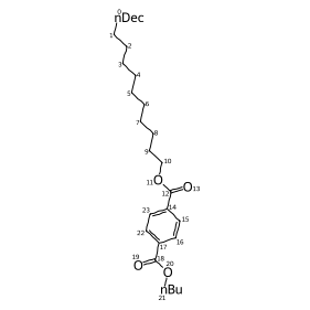 CCCCCCCCCCCCCCCCCCCCOC(=O)c1ccc(C(=O)OCCCC)cc1